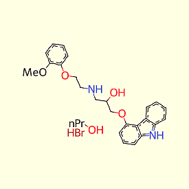 Br.CCCO.COc1ccccc1OCCNCC(O)COc1cccc2[nH]c3ccccc3c12